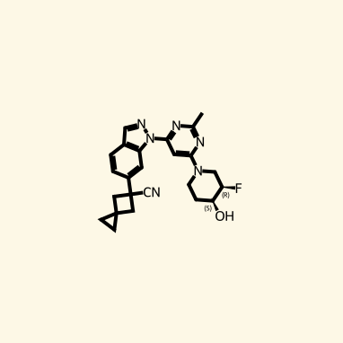 Cc1nc(N2CC[C@H](O)[C@H](F)C2)cc(-n2ncc3ccc(C4(C#N)CC5(CC5)C4)cc32)n1